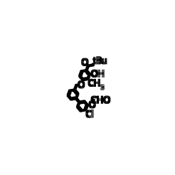 Cc1c(OCc2cccc(-c3ccc(Cl)c(OC=O)c3)c2)ccc(C(=O)CC(C)(C)C)c1O